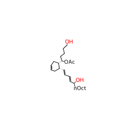 CCCCCCCCC(O)/C=C/C=C/[C@@H]1CC=CC[C@@H]1C(CCCCO)OC(C)=O